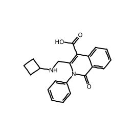 O=C(O)c1c(CNC2CCC2)n(-c2ccccc2)c(=O)c2ccccc12